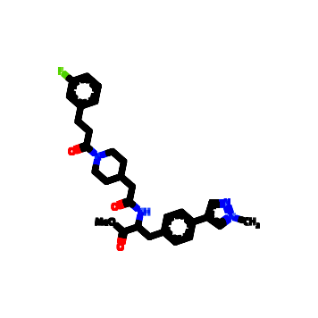 COC(=O)C(Cc1ccc(-c2cnn(C)c2)cc1)NC(=O)CC1CCN(C(=O)CCc2cccc(F)c2)CC1